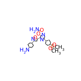 CC(C)S(=O)(=O)c1ccc(-c2cnc(OC(N)=O)c(-c3cc(-c4ccc(N)cc4)no3)n2)cc1